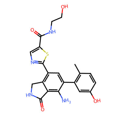 Cc1ccc(O)cc1-c1cc(-c2ncc(C(=O)NCCO)s2)c2c(c1N)C(=O)NC2